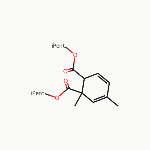 CCCC(C)OC(=O)C1C=CC(C)=CC1(C)C(=O)OC(C)CCC